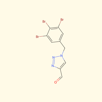 O=Cc1cn(Cc2cc(Br)c(Br)c(Br)c2)nn1